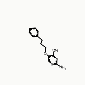 Nc1ncc(OCCCc2ccccc2)c(O)n1